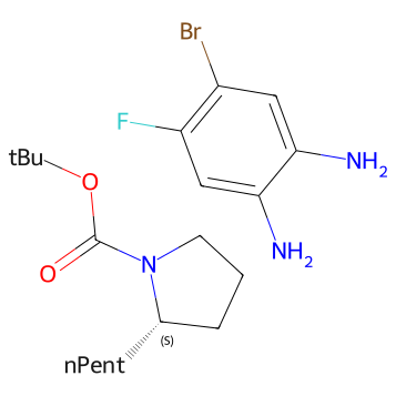 CCCCC[C@H]1CCCN1C(=O)OC(C)(C)C.Nc1cc(F)c(Br)cc1N